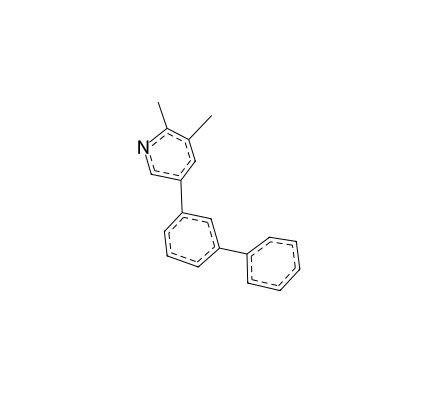 Cc1cc(-c2cccc(-c3ccccc3)c2)cnc1C